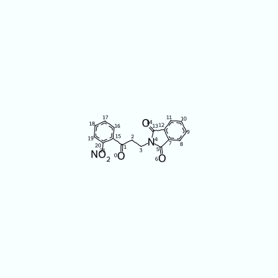 O=C(CCN1C(=O)c2ccccc2C1=O)c1ccccc1[N+](=O)[O-]